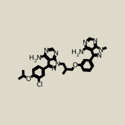 CC(COc1cccc(-c2nn(C)c3ncnc(N)c23)c1)Cn1nc(-c2ccc(OC(C)C)c(Cl)c2)c2c(N)ncnc21